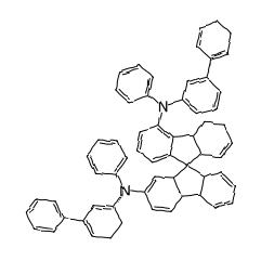 C1=CC2C3C=CC(N(C4=CC(c5ccccc5)=CCC4)c4ccccc4)=CC3C3(c4cccc(N(c5ccccc5)c5cccc(C6=CCCC=C6)c5)c4C4CCC=CC43)C2C=C1